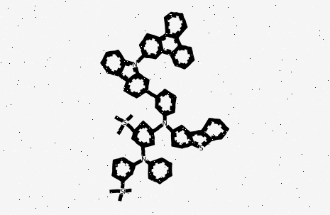 C[Si](C)(C)c1cccc(N(c2ccccc2)c2cc(N(c3cccc(-c4ccc5c6ccccc6n(-c6ccc7c8ccccc8c8ccccc8c7c6)c5c4)c3)c3ccc4sc5ccccc5c4c3)cc(S(C)(C)C)c2)c1